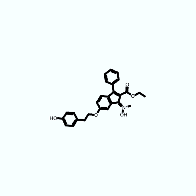 CCOC(=O)C1=C(c2ccccc2)c2ccc(OCCc3ccc(O)cc3)cc2/C1=[N+](/C)O